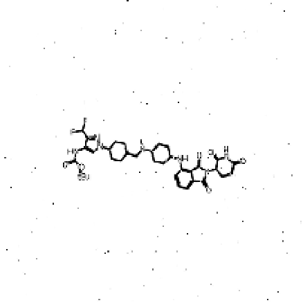 CN(CC1CCC(n2cc(NC(=O)OC(C)(C)C)c(C(F)F)n2)CC1)C1CCC(Nc2cccc3c2C(=O)N(C2CCC(=O)NC2=O)C3=O)CC1